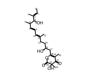 C/C=C(\C)C(O)C(C)/C=C/C=C(\C)CCC(O)CC1=C(C)C(=O)C(C)(O)C(=O)O1